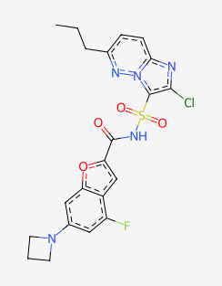 CCCc1ccc2nc(Cl)c(S(=O)(=O)NC(=O)c3cc4c(F)cc(N5CCC5)cc4o3)n2n1